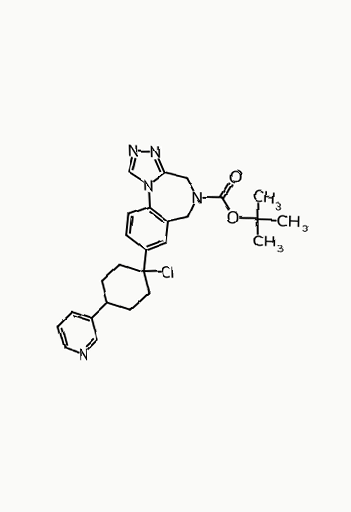 CC(C)(C)OC(=O)N1Cc2cc(C3(Cl)CCC(c4cccnc4)CC3)ccc2-n2cnnc2C1